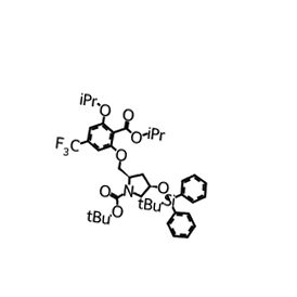 CC(C)OC(=O)c1c(OC[C@H]2C[C@@H](O[Si](c3ccccc3)(c3ccccc3)C(C)(C)C)CN2C(=O)OC(C)(C)C)cc(C(F)(F)F)cc1OC(C)C